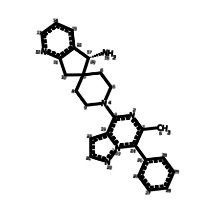 Cc1nc(N2CCC3(CC2)Cc2ncccc2[C@@H]3N)c2ccnn2c1-c1ccccc1